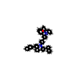 C1=Cc2c(N(c3ccc(-c4ccc(-n5c6ccccc6c6ccccc65)c(-c5ccccc5)c4)cc3)c3cccc(-c4cccc5ccccc45)c3)ccc(-c3ccc4ccccc4c3)c2CC1